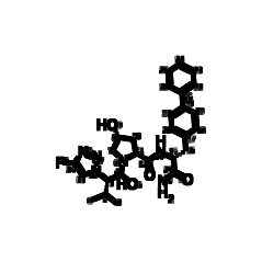 CC(C)[C@@H](C(O)N1C[C@H](O)C[C@H]1C(=O)N[C@H](Cc1ccc(-c2ccccc2)cc1)C(N)=O)n1cc(F)nn1